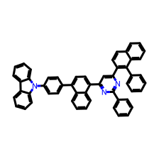 c1ccc(-c2nc(-c3ccc4ccccc4c3-c3ccccc3)cc(-c3ccc(-c4ccc(-n5c6ccccc6c6ccccc65)cc4)c4ccccc34)n2)cc1